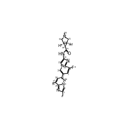 Cc1cn2nc(-c3cc(F)c4nc(NC(=O)C5[C@H]6CN(C)C[C@@H]56)cn4c3)cc(C)c2n1